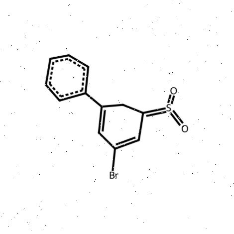 O=S(=O)=C1C=C(Br)C=C(c2ccccc2)C1